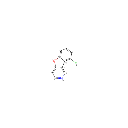 Clc1cccc2oc3ccncc3c12